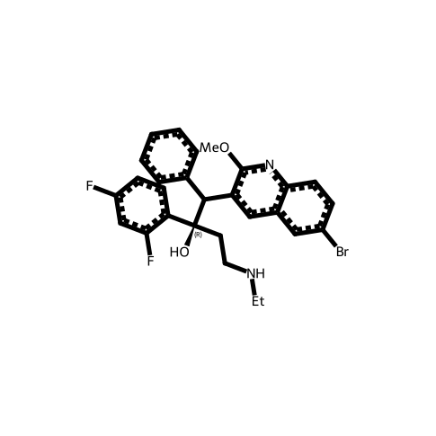 CCNCC[C@](O)(c1ccc(F)cc1F)C(c1ccccc1)c1cc2cc(Br)ccc2nc1OC